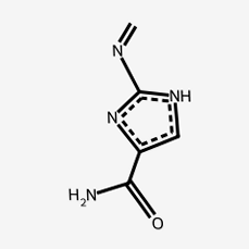 C=Nc1nc(C(N)=O)c[nH]1